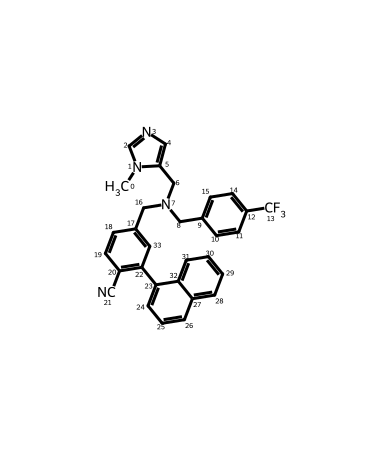 Cn1cncc1CN(Cc1ccc(C(F)(F)F)cc1)Cc1ccc(C#N)c(-c2cccc3ccccc23)c1